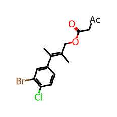 CC(=O)CC(=O)OC/C(C)=C(\C)c1ccc(Cl)c(Br)c1